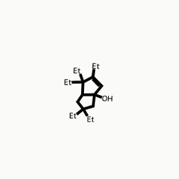 CCC1=CC2(O)CC(CC)(CC)CC2C1(CC)CC